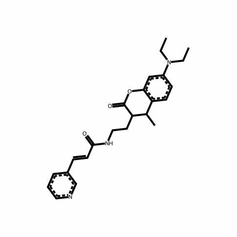 CCN(CC)c1ccc2c(c1)OC(=O)C(CCNC(=O)C=Cc1cccnc1)C2C